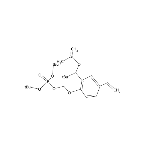 C=Cc1ccc(OCOP(=O)(OC(C)(C)C)OC(C)(C)C)c(C(O[SiH](C)C)C(C)(C)C)c1